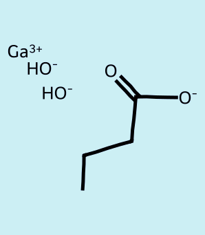 CCCC(=O)[O-].[Ga+3].[OH-].[OH-]